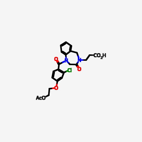 CC(=O)OCCOc1ccc(C(=O)N2CC(=O)N(CCC(=O)O)Cc3ccccc32)c(Cl)c1